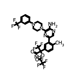 Cc1ccc(C(OC(=O)C(F)(F)F)(C(N)=O)C(F)(F)F)cc1-c1cnc(N)c(N2CCN(c3cccc(C(F)(F)F)c3)CC2)n1